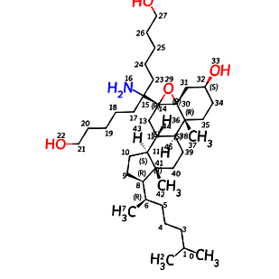 CC(C)CCC[C@@H](C)[C@H]1CC[C@H]2[C@@H]3C[C@]4(C(N)(CCCCCO)CCCCCO)O[C@@]45C[C@@H](O)CC[C@]5(C)[C@H]3CC[C@]12C